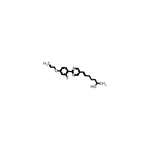 C=CCOc1ccc(-c2ncc(C=CCCCC(C)O)cn2)c(F)c1